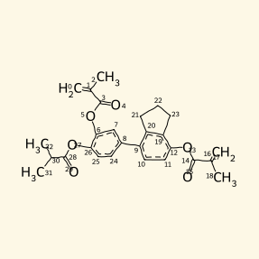 C=C(C)C(=O)Oc1cc(-c2ccc(OC(=O)C(=C)C)c3c2CCC3)ccc1OC(=O)C(C)C